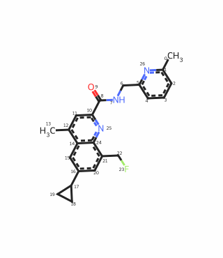 Cc1cccc(CNC(=O)c2cc(C)c3cc(C4CC4)cc(CF)c3n2)n1